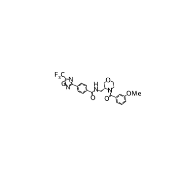 COc1cccc(C(=O)N2CCOC[C@@H]2CNC(=O)c2ccc(-c3noc(C(F)(F)F)n3)cc2)c1